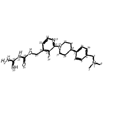 CN(C)Cc1ccc(C2CCN(c3nccc(COC(=O)NC(=N)N)c3F)CC2)cc1